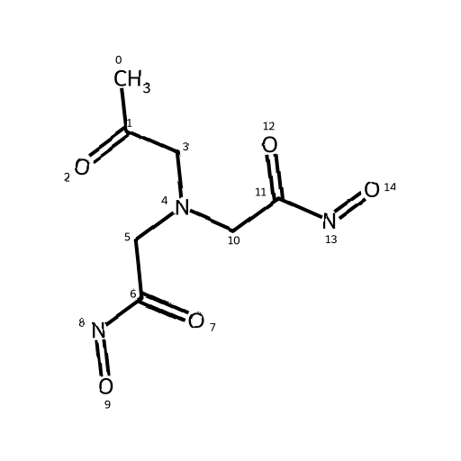 CC(=O)CN(CC(=O)N=O)CC(=O)N=O